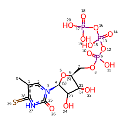 Cc1cn([C@H]2O[C@@H](COP(=O)(O)OP(=O)(O)OP(=O)(O)O)[C@@H](O)C2O)c(=O)[nH]c1=S